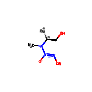 CC[C@@H](C)[C@@H](CO)N(C)/[N+]([O-])=N/O